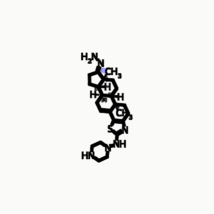 C[C@]12CCc3nc(NN4CCNCC4)sc3C1=CC[C@@H]1[C@@H]2CC[C@]2(C)/C(=N/N)CC[C@@H]12